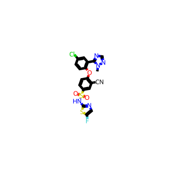 Cn1ncnc1-c1cc(Cl)ccc1Oc1ccc(S(=O)(=O)Nc2ncc(F)s2)cc1C#N